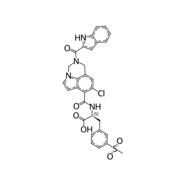 CS(=O)(=O)c1cccc(C[C@H](NC(=O)c2c(Cl)cc3c4c2ccn4CN(C(=O)c2cc4ccccc4[nH]2)C3)C(=O)O)c1